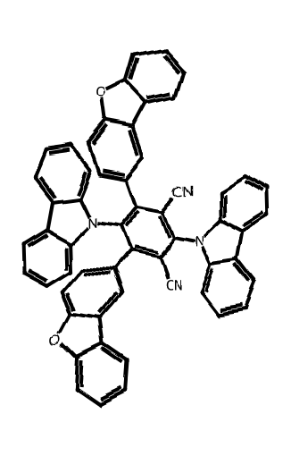 N#Cc1c(-c2ccc3oc4ccccc4c3c2)c(-n2c3ccccc3c3ccccc32)c(-c2ccc3oc4ccccc4c3c2)c(C#N)c1-n1c2ccccc2c2ccccc21